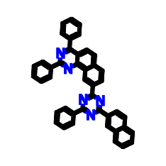 c1ccc(-c2nc(-c3ccc4ccccc4c3)nc(-c3ccc4ccc5c(-c6ccccc6)nc(-c6ccccc6)nc5c4c3)n2)cc1